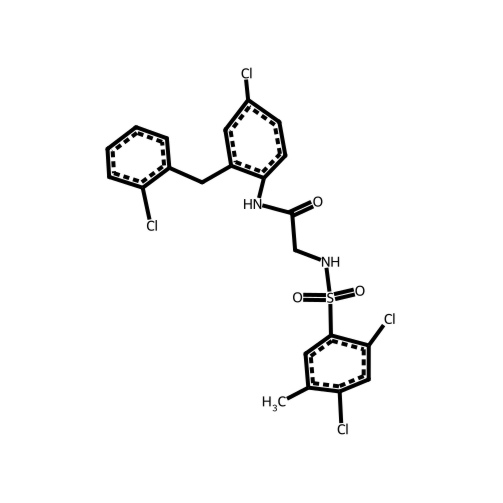 Cc1cc(S(=O)(=O)NCC(=O)Nc2ccc(Cl)cc2Cc2ccccc2Cl)c(Cl)cc1Cl